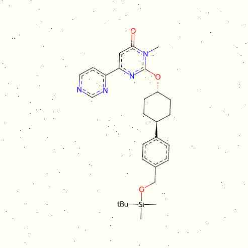 Cn1c(O[C@H]2CC[C@H](c3ccc(CO[Si](C)(C)C(C)(C)C)cc3)CC2)nc(-c2ccncn2)cc1=O